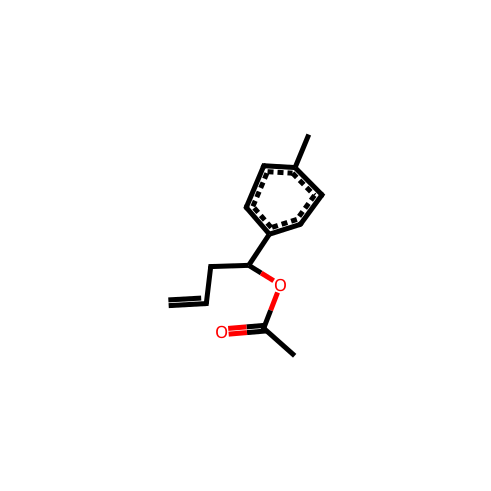 C=CCC(OC(C)=O)c1ccc(C)cc1